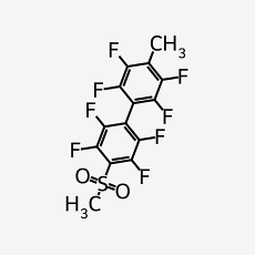 Cc1c(F)c(F)c(-c2c(F)c(F)c(S(C)(=O)=O)c(F)c2F)c(F)c1F